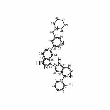 Fc1ccccc1-c1nccc2[nH]c(-c3n[nH]c4ccc(-c5cncc(CN6CCCCC6)c5)cc34)cc12